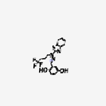 Oc1ccc(O)c(/C=N/N(CCCC(F)(F)F)c2nc3ccccc3s2)c1